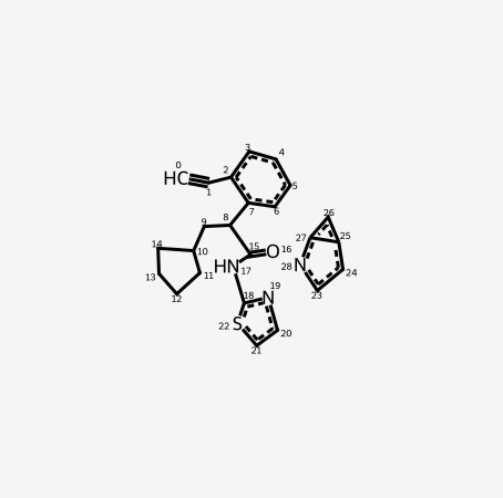 C#Cc1ccccc1C(CC1CCCC1)C(=O)Nc1nccs1.c1cc2cc-2n1